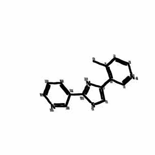 Cc1ccncc1-c1csc(-c2cccnc2)n1